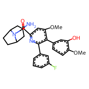 COc1ccc(-c2c(OC)cc(C(=O)N3C4CCC3CC(N)C4)nc2-c2cccc(F)c2)cc1O